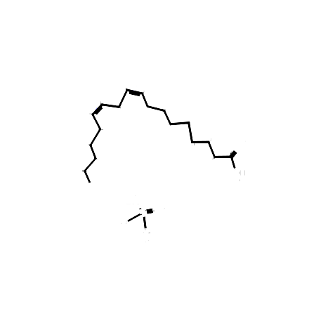 CCCCC/C=C\C/C=C\CCCCCCCC(=O)O.O=P(O)(O)O